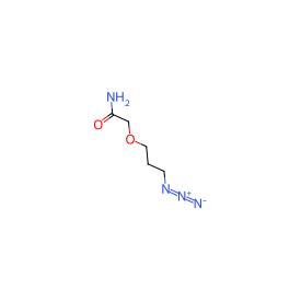 [N-]=[N+]=NCCCOCC(N)=O